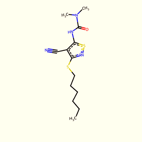 CCCCCCSc1nsc(NC(=O)N(C)C)c1C#N